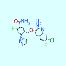 NC(=O)c1cc(COc2cc3cc(F)c(Cl)cc3nc2N)c(-n2cccn2)cc1F